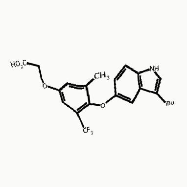 CCC(C)c1c[nH]c2ccc(Oc3c(C)cc(OCC(=O)O)cc3C(F)(F)F)cc12